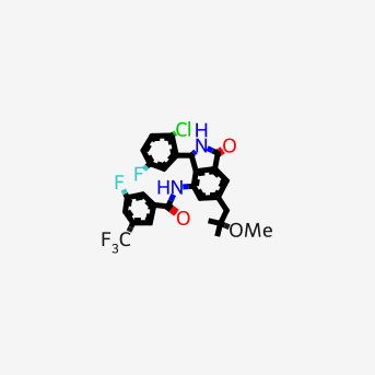 COC(C)(C)Cc1cc(NC(=O)c2cc(F)cc(C(F)(F)F)c2)c2c(c1)C(=O)NC2c1cc(F)ccc1Cl